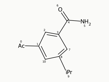 CC(=O)c1cc(C(N)=O)cc(C(C)C)c1